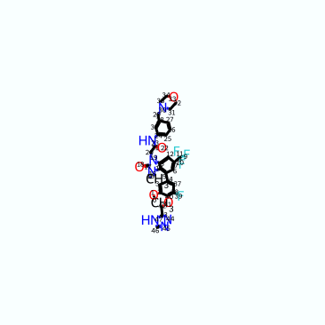 COc1cc(-c2cc(C(F)(F)F)cc3c2n(C)c(=O)n3CC(=O)Nc2cccc(CN3CCOCC3)c2)cc(F)c1OCc1nnc[nH]1